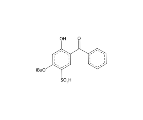 CC(C)COc1cc(O)c(C(=O)c2ccccc2)cc1S(=O)(=O)O